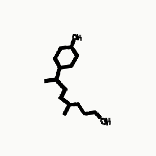 CC(CCCO)CCC(C)C1CCC(O)CC1